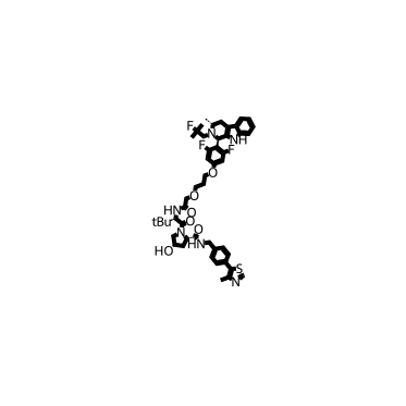 Cc1ncsc1-c1ccc(CNC(=O)[C@@H]2C[C@@H](O)CN2C(=O)[C@@H](NC(=O)COCCCOc2cc(F)c([C@@H]3c4[nH]c5ccccc5c4C[C@@H](C)N3CC(C)(C)F)c(F)c2)C(C)(C)C)cc1